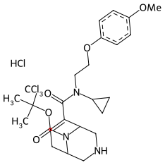 COc1ccc(OCCN(C(=O)C2=CCC3CNCC2N3C(=O)OC(C)(C)C(Cl)(Cl)Cl)C2CC2)cc1.Cl